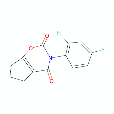 O=c1oc2c(c(=O)n1-c1ccc(F)cc1F)CCC2